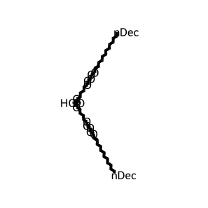 CCCCCCCCCCCCCCCCCCCCC=COOOOOCCCCOP(=O)(O)OCCCCOOOOOC=CCCCCCCCCCCCCCCCCCCCC